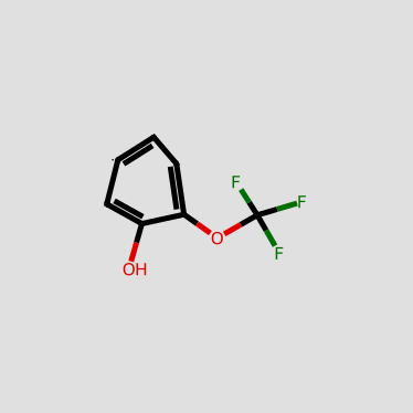 Oc1c[c]ccc1OC(F)(F)F